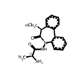 CC1C(=O)N(NC(=O)[C@H](C)N)c2ccccc2-c2ccccc21.Cl